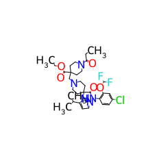 CCOC(=O)C1(CN2CCC(C(=O)Nc3ccc(Cl)cc3OC(F)F)(n3nccc3C(C)C)CC2)CCN(C(=O)CC)CC1